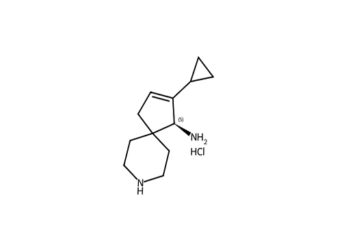 Cl.N[C@@H]1C(C2CC2)=CCC12CCNCC2